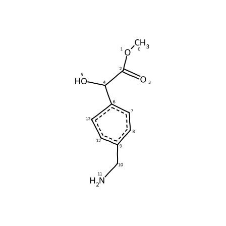 COC(=O)C(O)c1ccc(CN)cc1